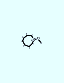 ISB1CCCCCCC1